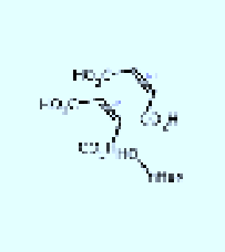 CCCCCCO.O=C(O)/C=C\C(=O)O.O=C(O)/C=C\C(=O)O